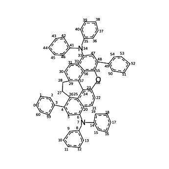 c1ccc(-c2cc(N(c3ccccc3)c3ccccc3)c3ccc4c5c3c2CCc2ccc3c(N(c6ccccc6)c6ccccc6)cc(-c6ccccc6)c(c3c2-5)O4)cc1